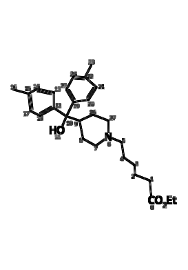 CCOC(=O)CCCCCN1CCC(C(O)(c2ccc(C)cc2)c2ccc(C)cc2)CC1